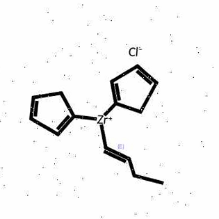 CC/C=[CH]/[Zr+]([C]1=CC=CC1)[C]1=CC=CC1.[Cl-]